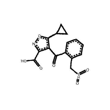 O=C(O)c1noc(C2CC2)c1C(=O)c1ccccc1C[SH](=O)=O